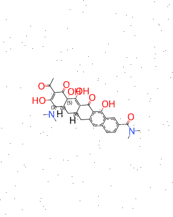 CC(=O)C1=C(O)[C@@H](N(C)C)[C@@H]2C[C@@H]3Cc4cc5ccc(C(=O)N(C)C)cc5c(O)c4C(=O)C3=C(O)[C@]2(O)C1=O